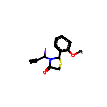 C#CC(I)N1C(=O)CSC1c1ccccc1OCC